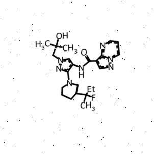 CCC(C)(F)C1CCCN(c2nn(CC(C)(C)O)cc2NC(=O)c2cnn3cccnc23)C1